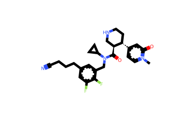 Cn1ccc([C@H]2CCNC[C@@H]2C(=O)N(Cc2cc(CCCC#N)cc(F)c2F)C2CC2)cc1=O